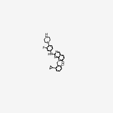 O=c1ccc2cnc(Nc3ccc(N4CCNCC4)c(F)c3)nc2n1Cc1c(Cl)cccc1C1CC1